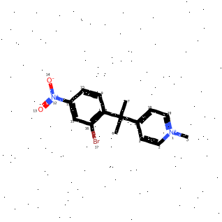 C[n+]1ccc(C(C)(C)c2ccc([N+](=O)[O-])cc2Br)cc1